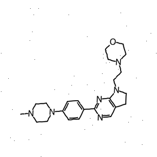 CN1CCN(c2ccc(-c3ncc4c(n3)N(CCN3CCOCC3)CC4)cc2)CC1